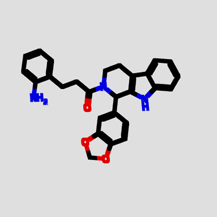 Nc1ccccc1CCC(=O)N1CCc2c([nH]c3ccccc23)C1c1ccc2c(c1)OCO2